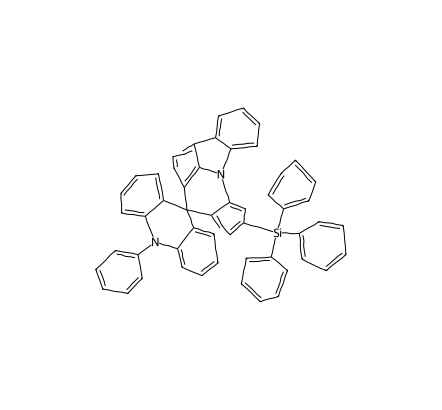 c1ccc(N2c3ccccc3C3(c4ccccc42)c2ccc([Si](c4ccccc4)(c4ccccc4)c4ccccc4)cc2-n2c4ccccc4c4cccc3c42)cc1